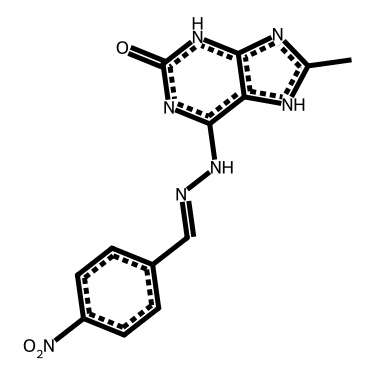 Cc1nc2[nH]c(=O)nc(NN=Cc3ccc([N+](=O)[O-])cc3)c2[nH]1